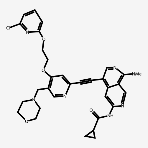 CNc1ncc(C#Cc2cc(OCCOc3cccc(Cl)n3)c(CN3CCOCC3)cn2)c2cc(NC(=O)C3CC3)ncc12